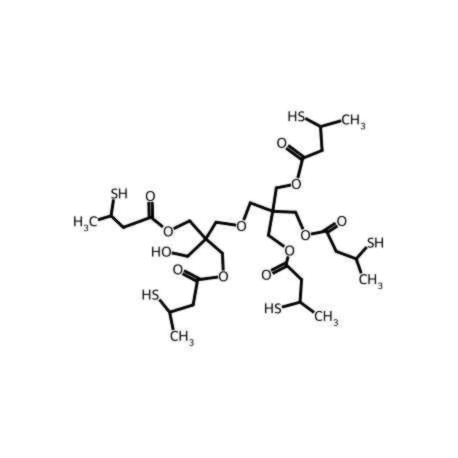 CC(S)CC(=O)OCC(CO)(COCC(COC(=O)CC(C)S)(COC(=O)CC(C)S)COC(=O)CC(C)S)COC(=O)CC(C)S